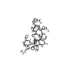 COc1ncc(Cl)cc1S(=O)(=O)Nc1ccc(F)c(-n2cc(C)c3nc(SC)ncc3c2=O)c1F